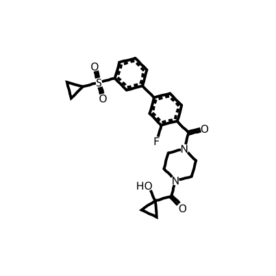 O=C(c1ccc(-c2cccc(S(=O)(=O)C3CC3)c2)cc1F)N1CCN(C(=O)C2(O)CC2)CC1